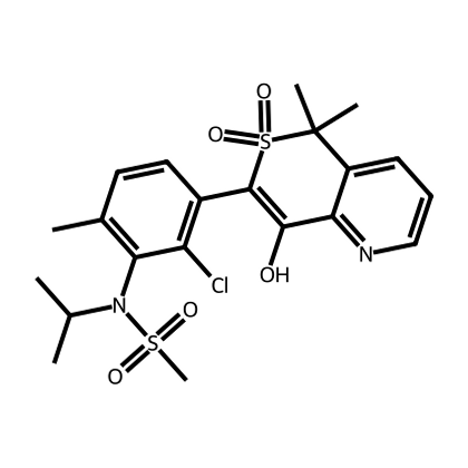 Cc1ccc(C2=C(O)c3ncccc3C(C)(C)S2(=O)=O)c(Cl)c1N(C(C)C)S(C)(=O)=O